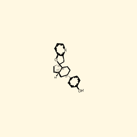 C[C@]12CC[C@H](c3ccc(O)cc3)C[C@@H]1CC[C@]21Cc2ncccc2O1